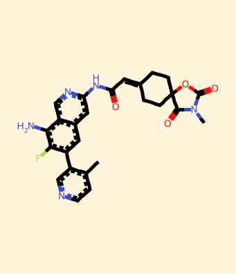 Cc1ccncc1-c1cc2cc(NC(=O)C=C3CCC4(CC3)OC(=O)N(C)C4=O)ncc2c(N)c1F